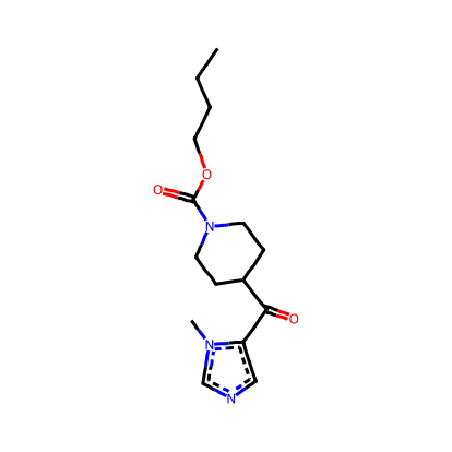 CCCCOC(=O)N1CCC(C(=O)c2cncn2C)CC1